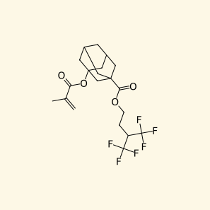 C=C(C)C(=O)OC12CC3CC(C1)CC(C(=O)OCCC(C(F)(F)F)C(F)(F)F)(C3)C2